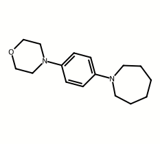 c1cc(N2CCOCC2)ccc1N1CCCCCC1